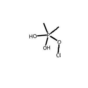 CP(C)(O)(O)OCl